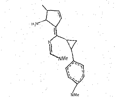 CN/C=N\C(=C1\C=CC(C)C1N)C1CC1c1ccc(NC)cc1